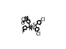 CN(C)c1ccc(-n2c(SC(c3ccc(Cl)cc3)c3ccc(Cl)cc3)nnc2-c2cccc(F)c2)cc1C(=O)O